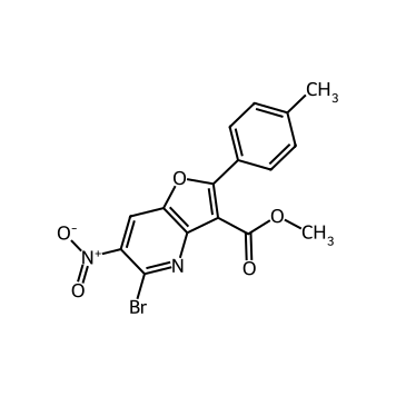 COC(=O)c1c(-c2ccc(C)cc2)oc2cc([N+](=O)[O-])c(Br)nc12